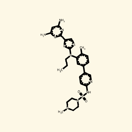 CCCN(c1nc(-c2nc(N)cc(N)n2)cs1)c1cc(-c2ccc(NS(=O)(=O)N3CCN(C)CC3)nc2)ccc1C